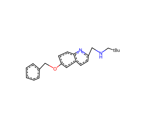 CC(C)(C)CNCc1ccc2cc(OCc3ccccc3)ccc2n1